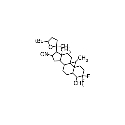 CC1C2CCC3C4CC(N=O)C(C5(C)CCC(C(C)(C)C)O5)C4(C)CCC34C(C)C24CCC1(F)F